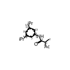 CC(=O)C(C)C(=O)Nc1cc(C(C)C)cc(C(C)C)c1